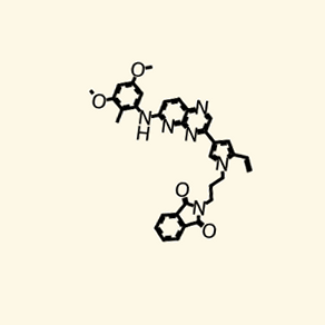 C=Cc1cc(-c2cnc3ccc(Nc4cc(OC)cc(OC)c4C)nc3n2)cn1CCCN1C(=O)c2ccccc2C1=O